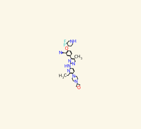 CCc1nc(Nc2ncc(C)c(-c3ccc(OC4CCNCC4(F)F)c(C#N)c3)n2)ccc1N1CCN(C2COC2)CC1